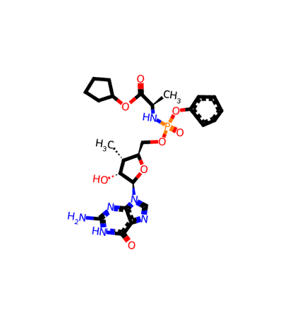 C[C@H]1[C@@H](O)[C@H](n2cnc3c(=O)[nH]c(N)nc32)O[C@@H]1COP(=O)(N[C@H](C)C(=O)OC1CCCC1)Oc1ccccc1